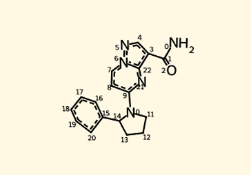 NC(=O)c1cnn2ccc(N3CCCC3c3ccccc3)nc12